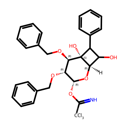 N=C(O[C@H]1O[C@@H]2C(O)C(c3ccccc3)[C@]2(O)[C@H](OCc2ccccc2)[C@H]1OCc1ccccc1)C(Cl)(Cl)Cl